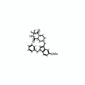 COc1ccc2c(c1)c(CN1CCN3C(=O)C(C)(C)NC(=O)C3C1)cn2Cc1ccccc1